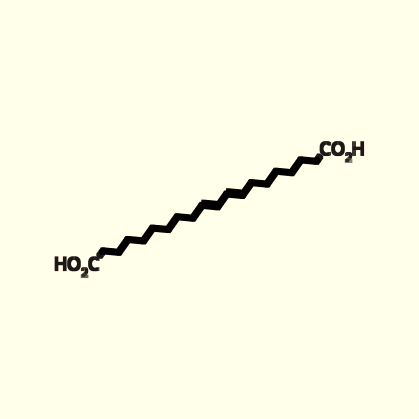 O=C(O)CCCCCCC=CC=CCCCCCCCCC(=O)O